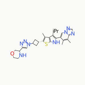 Cc1c(-c2[nH]c3sc([C@H]4C[C@H](n5cc(C6COCCN6)nn5)C4)c(C)c3c2C(C)C)cn2ncnc2c1C